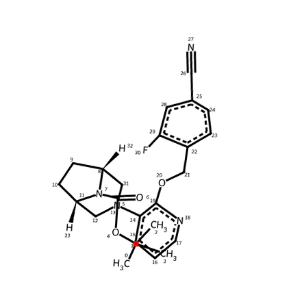 CC(C)(C)OC(=O)N1[C@@H]2CC[C@H]1CN(c1cccnc1OCc1ccc(C#N)cc1F)C2